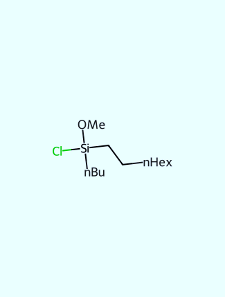 CCCCCCCC[Si](Cl)(CCCC)OC